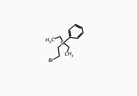 CC[Si](CC)(CCBr)c1ccccc1